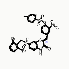 Cc1ccc(S(=O)(=O)Oc2ccc(/C=C3\Sc4cc(S(=O)(=O)Cc5c(Br)cccc5Br)ccc4NC3=O)cc2[N+](=O)[O-])cc1